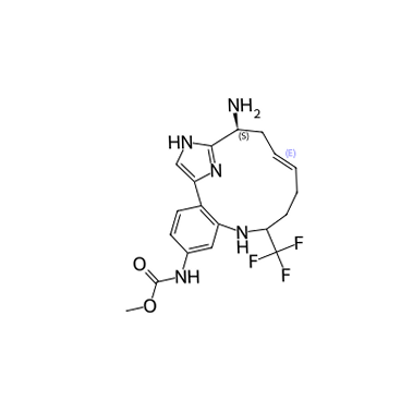 COC(=O)Nc1ccc2c(c1)NC(C(F)(F)F)CC/C=C/C[C@H](N)c1nc-2c[nH]1